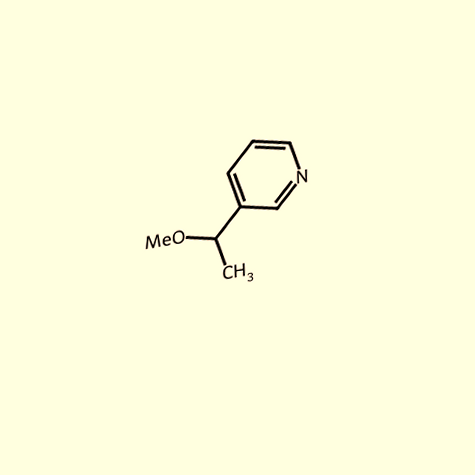 COC(C)c1cccnc1